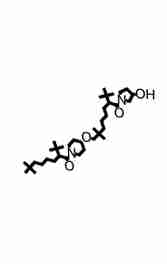 CC(C)(C)CCCCC(C(=O)N1CCC(OCC(C)(C)CCCCC(C(=O)N2CCC(O)C2)C(C)(C)C)CC1)C(C)(C)C